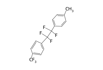 Cc1ccc(C(F)(F)C(F)(F)c2ccc(C(F)(F)F)cc2)cc1